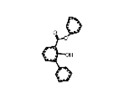 O=C(Oc1ccccc1)c1cccc(-c2ccccc2)c1O